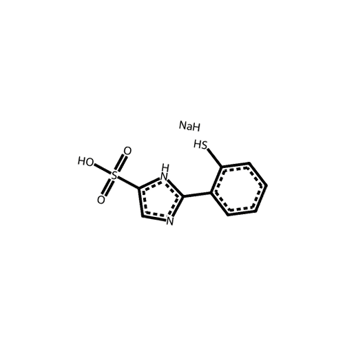 O=S(=O)(O)c1cnc(-c2ccccc2S)[nH]1.[NaH]